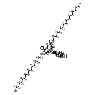 CCCCCCCCCCCCCCCCCCOC(=O)CC(C(=O)OCCCCCCCCCCCCCCCCCC)S(=O)(=O)O.[NaH].[NaH].[NaH].[NaH]